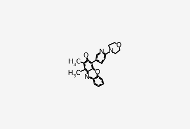 Cc1c2nc3ccccc3oc-2c(-c2ccc(N3CCOCC3)nc2)c(=O)c1C